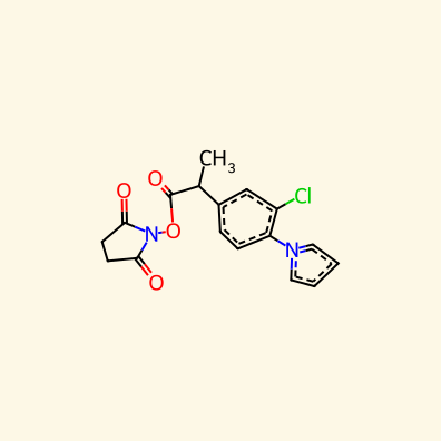 CC(C(=O)ON1C(=O)CCC1=O)c1ccc(-n2cccc2)c(Cl)c1